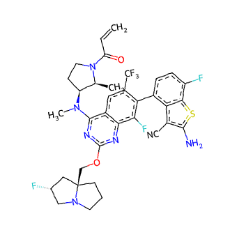 C=CC(=O)N1CC[C@H](N(C)c2nc(OC[C@@]34CCCN3C[C@H](F)C4)nc3c(F)c(-c4ccc(F)c5sc(N)c(C#N)c45)c(C(F)(F)F)cc23)[C@@H]1C